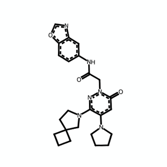 O=C(Cn1nc(N2CCC3(CCC3)C2)c(N2CCCC2)cc1=O)Nc1ccc2ocnc2c1